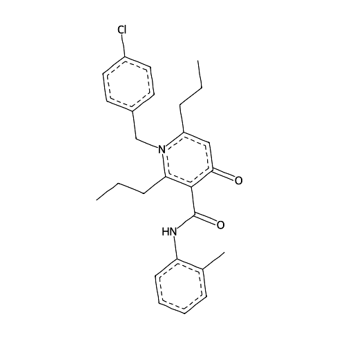 CCCc1cc(=O)c(C(=O)Nc2ccccc2C)c(CCC)n1Cc1ccc(Cl)cc1